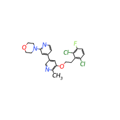 Cc1ncc(-c2ccnc(N3CCOCC3)c2)cc1OCCc1c(Cl)ccc(F)c1Cl